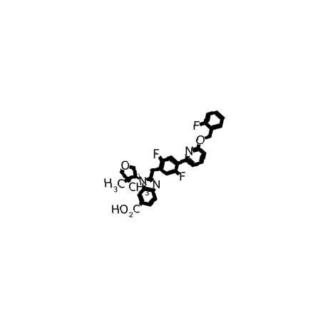 CC1(C)COC[C@H]1n1c(Cc2cc(F)c(-c3cccc(OCc4ccccc4F)n3)cc2F)nc2ccc(C(=O)O)cc21